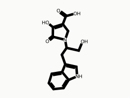 O=C(O)C1=C(O)C(=O)N(C(CO)Cc2c[nH]c3ccccc23)C1